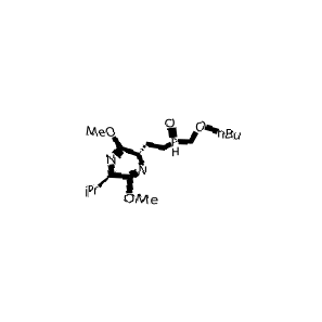 CCCCOC[PH](=O)CC[C@@H]1N=C(OC)[C@@H](C(C)C)N=C1OC